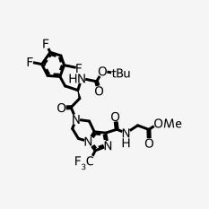 COC(=O)CNC(=O)c1nc(C(F)(F)F)n2c1CN(C(=O)C[C@@H](Cc1cc(F)c(F)cc1F)NC(=O)OC(C)(C)C)CC2